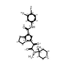 CN(C(=O)C(=O)c1cc(C(=O)Nc2ccc(F)c(F)c2)c2n1CCC2)C1(C)CCOCC1